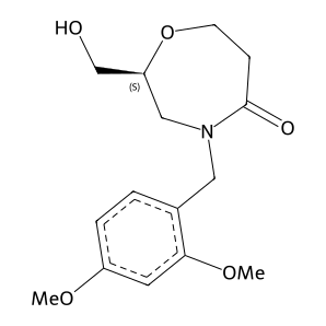 COc1ccc(CN2C[C@@H](CO)OCCC2=O)c(OC)c1